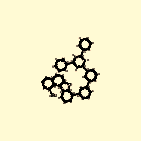 CC(C)(C)c1cccc2ccc3oc4c(-c5cccc(-c6cccc(-c7nc(-c8ccccc8)nc(-c8ccccc8)n7)c6)c5)cccc4c3c12